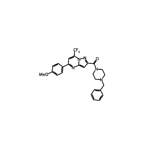 COc1ccc(-c2cc(C(F)(F)F)n3nc(C(=O)N4CCN(Cc5ccccc5)CC4)cc3n2)cc1